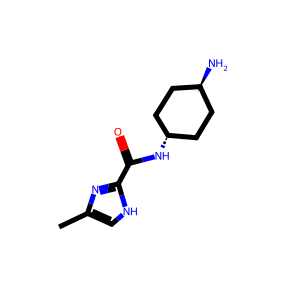 Cc1c[nH]c(C(=O)N[C@H]2CC[C@H](N)CC2)n1